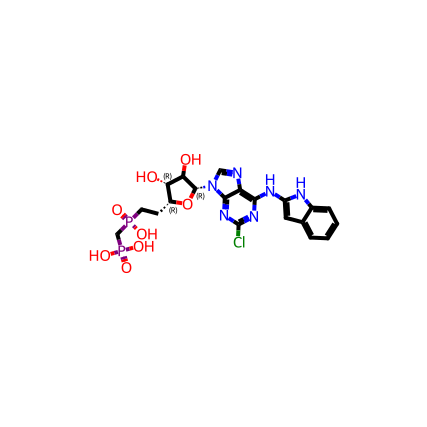 O=P(O)(O)CP(=O)(O)CC[C@H]1O[C@@H](n2cnc3c(Nc4cc5ccccc5[nH]4)nc(Cl)nc32)C(O)[C@H]1O